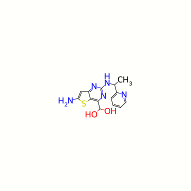 CC(Nc1nc(C(O)O)c2sc(N)cc2n1)c1ccccn1